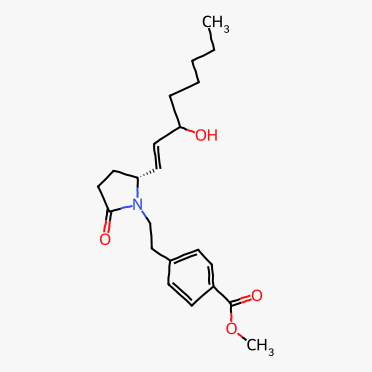 CCCCCC(O)C=C[C@H]1CCC(=O)N1CCc1ccc(C(=O)OC)cc1